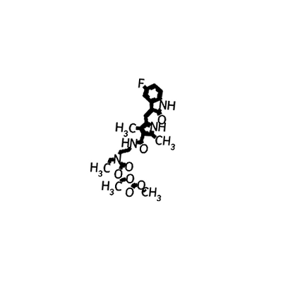 CCN(CCNC(=O)c1c(C)[nH]c(/C=C2\C(=O)Nc3ccc(F)cc32)c1C)C(=O)OC(C)OC(=O)OC